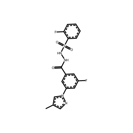 Cc1cnn(-c2cc(F)cc(C(=O)NNS(=O)(=O)c3ccccc3F)c2)c1